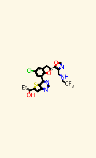 CCC(O)c1cc2ncnc(-c3cc(Cl)cc4c3O[C@@H](c3ocnc3CNCC(F)(F)F)C4)c2s1